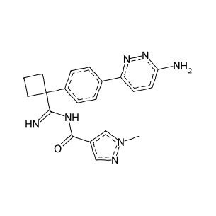 Cn1cc(C(=O)NC(=N)C2(c3ccc(-c4ccc(N)nn4)cc3)CCC2)cn1